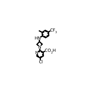 Cc1cc(C(F)(F)F)ccc1NC1CN(c2ncc(Cl)cc2C(=O)O)C1